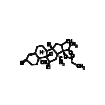 CCC(=O)O[C@]1(C(C)=O)C(C)C[C@H]2[C@@H]3CCC4=CC(=O)CC[C@]4(C)[C@@]3(Cl)C(Cl)C[C@@]21C